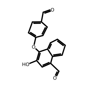 O=Cc1ccc(Oc2c(O)cc(C=O)c3ccccc23)cc1